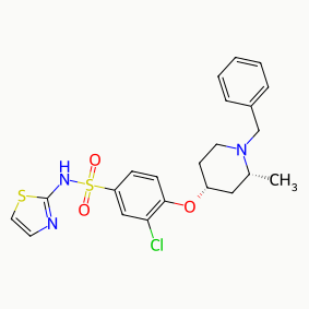 C[C@@H]1C[C@H](Oc2ccc(S(=O)(=O)Nc3nccs3)cc2Cl)CCN1Cc1ccccc1